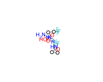 NCCN(C(=O)O)N(C(=O)c1ccccc1-c1ccc(C(F)(F)F)cc1)C1CCN(CCCCC2(C(=O)NCC(F)(F)F)c3ccccc3-c3ccccc32)CC1